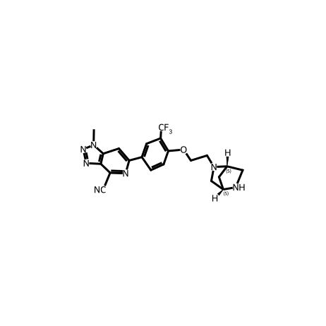 Cn1nnc2c(C#N)nc(-c3ccc(OCCN4C[C@@H]5C[C@H]4CN5)c(C(F)(F)F)c3)cc21